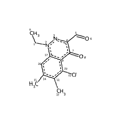 CCn1nc(C=O)c(=O)c2c(Cl)c(C)c(C)cc21